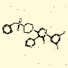 O=c1c(-c2cccnc2)c(N2CCN(S(=O)(=O)Cc3ccccc3)CC2)cnn1-c1cc(F)cc(F)c1